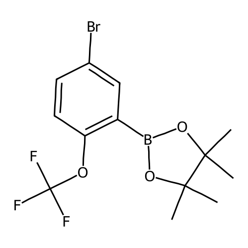 CC1(C)OB(c2cc(Br)ccc2OC(F)(F)F)OC1(C)C